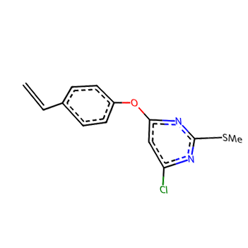 C=Cc1ccc(Oc2cc(Cl)nc(SC)n2)cc1